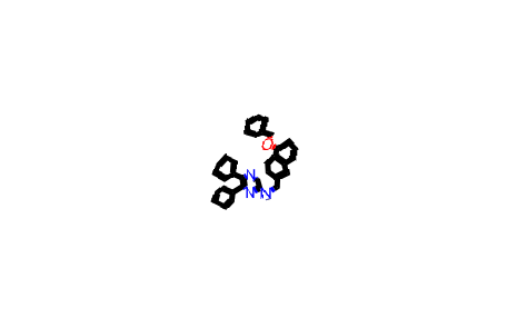 CN(CC1=Cc2cccc(OCc3ccccc3)c2CC1)c1cnc(-c2ccccc2)c(-c2ccccc2)n1